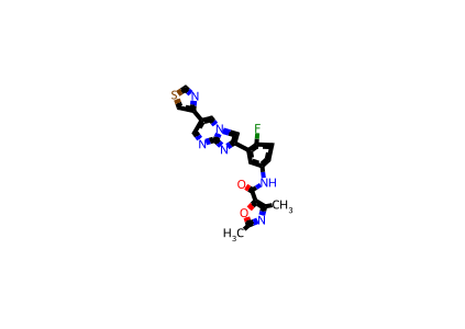 Cc1nc(C)c(C(=O)Nc2ccc(F)c(-c3cn4cc(-c5cscn5)cnc4n3)c2)o1